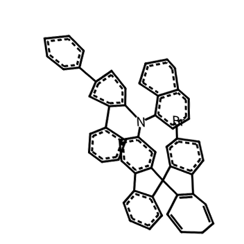 Brc1ccc2c(c1)C1(C3=C2C=CCC=C3)c2ccccc2-c2ccc(N(c3ccc(-c4ccccc4)cc3-c3ccccc3)c3cccc4ccccc34)cc21